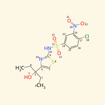 CCC(O)(CC)c1csc(NS(=O)(=O)c2ccc(Cl)c([N+](=O)[O-])c2)n1